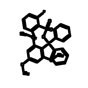 CC(C)(C)Oc1cc(OC(C)(C)C)c(S(OS(=O)(=O)c2c(F)cccc2F)(c2ccccc2)c2ccccc2)c(OC(C)(C)C)c1